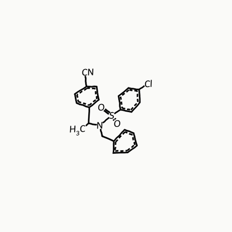 CC(c1ccc(C#N)cc1)N(Cc1ccccc1)S(=O)(=O)c1ccc(Cl)cc1